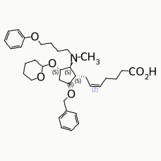 CN(CCCCOc1ccccc1)[C@H]1[C@H](C/C=C\CCCC(=O)O)[C@H](OCc2ccccc2)C[C@@H]1OC1CCCCO1